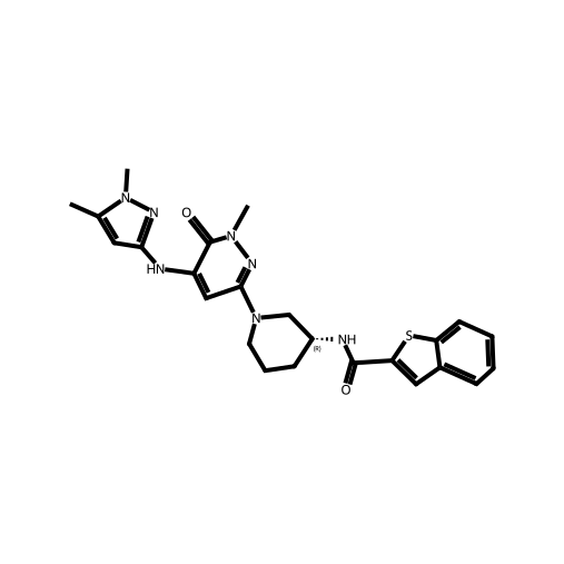 Cc1cc(Nc2cc(N3CCC[C@@H](NC(=O)c4cc5ccccc5s4)C3)nn(C)c2=O)nn1C